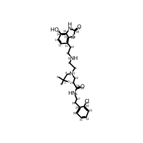 CC(C)(C)CN(CCNCCc1ccc(O)c2[nH]c(=O)sc12)CCC(=O)NCCc1ccccc1Cl